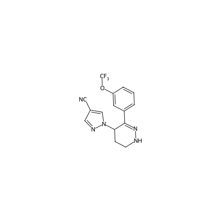 N#Cc1cnn(C2CCNN=C2c2cccc(OC(F)(F)F)c2)c1